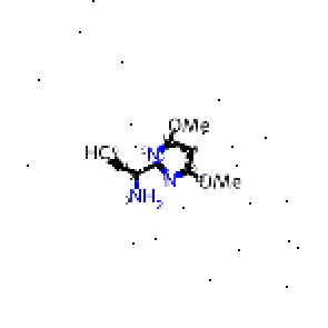 C#CC(N)c1nc(OC)cc(OC)n1